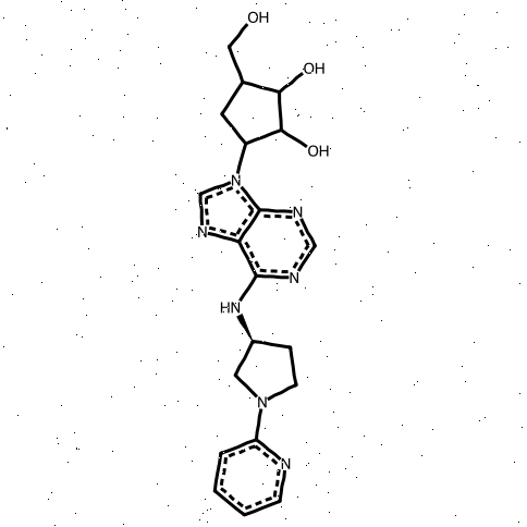 OCC1CC(n2cnc3c(N[C@H]4CCN(c5ccccn5)C4)ncnc32)C(O)C1O